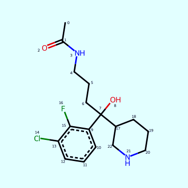 CC(=O)NCCCC(O)(c1cccc(Cl)c1F)C1CCCNC1